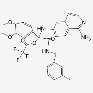 COc1ccc(C(Nc2ccc3c(N)nccc3c2)(OC(=O)C(F)(F)F)C(=O)NCc2cccc(C)c2)cc1OC